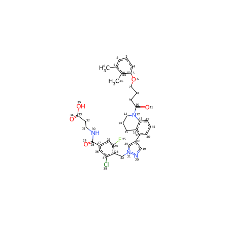 Cc1cccc(OCCCC(=O)N2CCCc3c(-c4cnn(Cc5c(F)cc(C(=O)NCCC(=O)O)cc5Cl)c4)cccc32)c1C